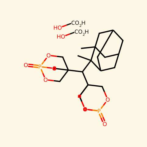 CC12CC3CC(CC(C3)C1(C)C(C13COP(=O)(OC1)OC3)C13COP(=O)(OC1)OC3)C2.O=C(O)O.O=C(O)O